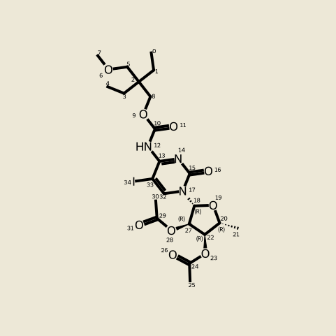 CCC(CC)(COC)COC(=O)Nc1nc(=O)n([C@@H]2O[C@H](C)[C@@H](OC(C)=O)[C@H]2OC(C)=O)cc1I